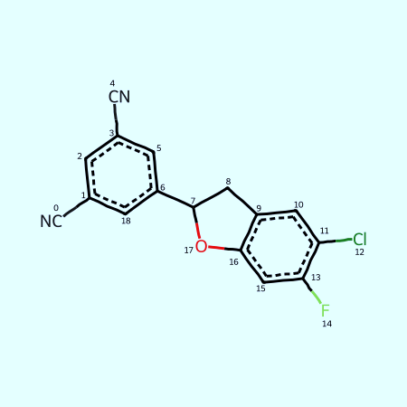 N#Cc1cc(C#N)cc(C2Cc3cc(Cl)c(F)cc3O2)c1